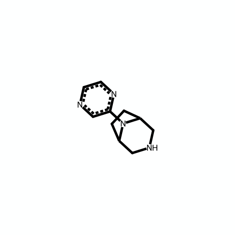 c1cnc(N2C3CCC2CNC3)cn1